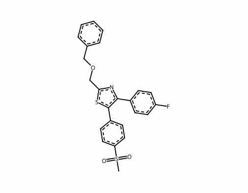 CS(=O)(=O)c1ccc(-c2sc(COCc3ccccc3)nc2-c2ccc(F)cc2)cc1